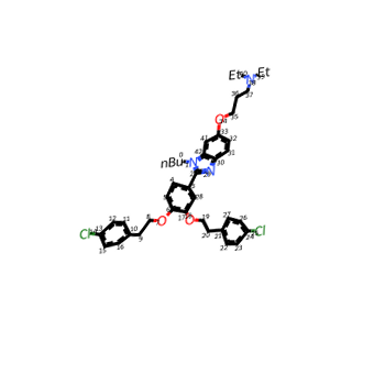 CCCCn1c(-c2ccc(OCCc3ccc(Cl)cc3)c(OCCc3ccc(Cl)cc3)c2)nc2ccc(OCCCN(CC)CC)cc21